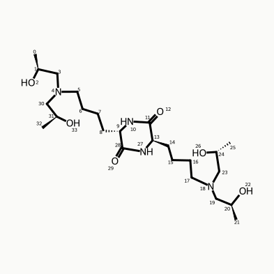 C[C@H](O)CN(CCCC[C@@H]1NC(=O)[C@@H](CCCCN(C[C@H](C)O)C[C@@H](C)O)NC1=O)C[C@H](C)O